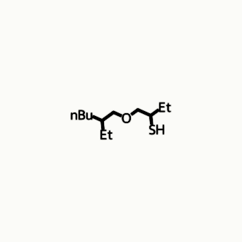 CCCCC(CC)COCC(S)CC